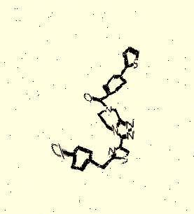 O=C(c1ccc(-c2cccs2)cc1)N1CCn2c(nnc2-c2csc(Cc3ccc(Cl)cc3)n2)C1